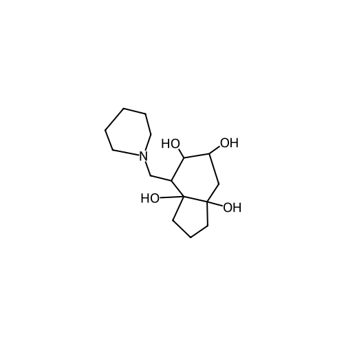 OC1CC2(O)CCCC2(O)C(CN2CCCCC2)C1O